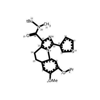 COc1cc2c(cc1OC(C)C)-n1c(-c3ccsc3)nc(C(=O)N(C)C(C)(C)C)c1CC2